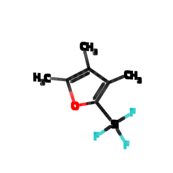 Cc1oc([Si](F)(F)F)c(C)c1C